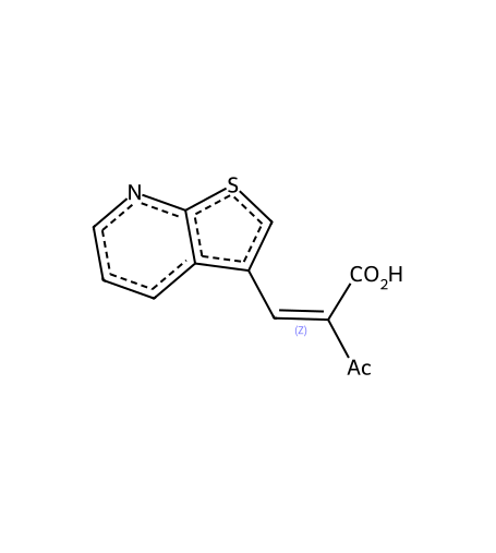 CC(=O)/C(=C/c1csc2ncccc12)C(=O)O